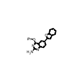 CC(C)Oc1nc(N)nc2ccc(-c3cc4ccccc4o3)cc12